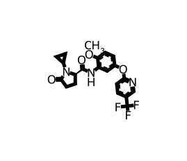 COc1ccc(Oc2ccc(C(F)(F)F)cn2)cc1NC(=O)[C@H]1CCC(=O)N1C1CC1